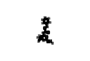 B[C@@H]1O[C@@]2(CC(=O)OCc3ccccc3)CC(=C)C1C2C